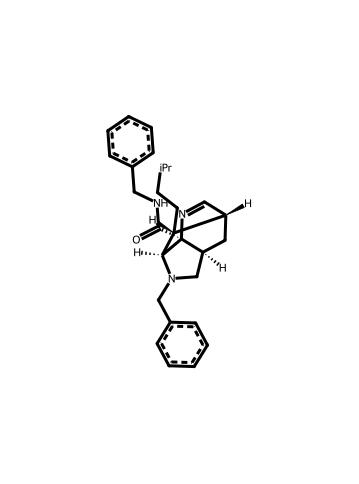 CC(C)CC[C@@H]1[C@@H]2C=N[C@@]3(C(=O)NCc4ccccc4)[C@@H](C2)CN(Cc2ccccc2)[C@@H]13